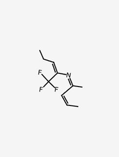 C\C=C/C(C)=N\C(=C\CC)C(F)(F)F